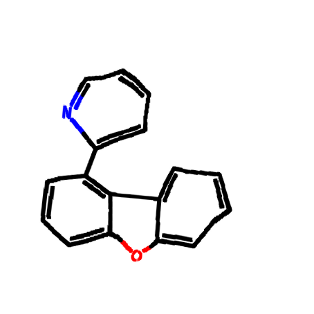 c1ccc(-c2cccc3oc4ccccc4c23)nc1